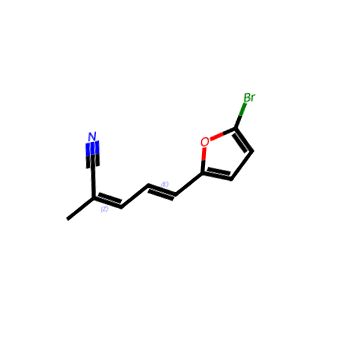 C/C(C#N)=C/C=C/c1ccc(Br)o1